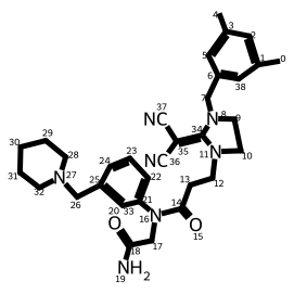 Cc1cc(C)cc(CN2CCN(CCC(=O)N(CC(N)=O)c3cccc(CN4CCCCC4)c3)C2=C(C#N)C#N)c1